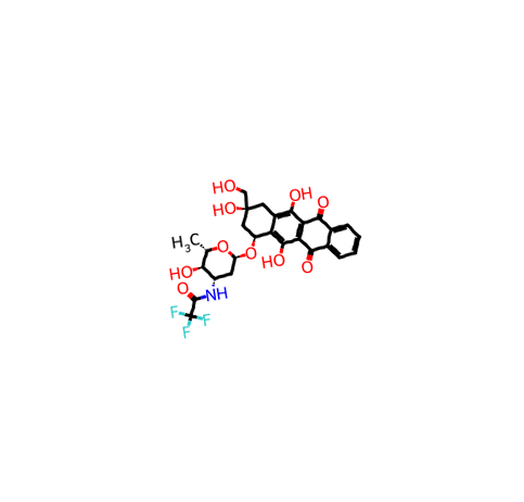 C[C@@H]1O[C@@H](O[C@H]2C[C@](O)(CO)Cc3c(O)c4c(c(O)c32)C(=O)c2ccccc2C4=O)C[C@H](NC(=O)C(F)(F)F)[C@H]1O